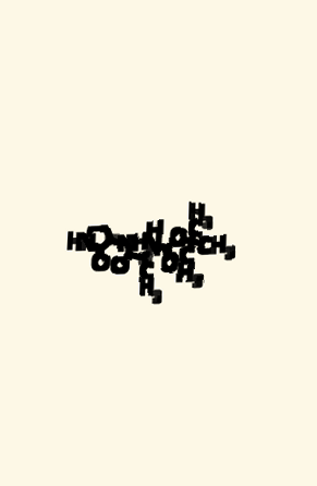 C[C@H](NC(=O)OC(C)(C)C)C(=O)N[C@@H]1CCNC1=O